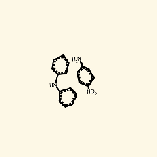 Nc1ccc([N+](=O)[O-])cc1.c1ccc(Nc2ccccc2)cc1